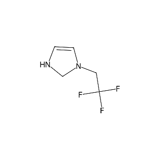 FC(F)(F)CN1C=CNC1